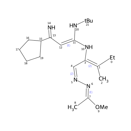 CC/C(C)=C(/C=N\N=C(/C)OC)N/C(=C/C(=N)C1CCCC1)NC(C)(C)C